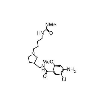 CNC(=O)NCCCCN1CCC(CNC(=O)c2cc(Cl)c(N)cc2OC)C1